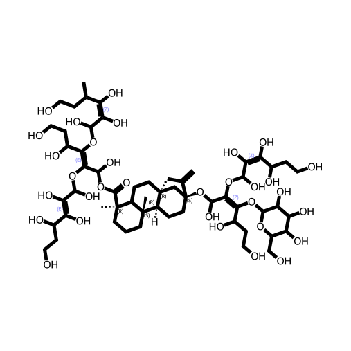 C=C1C[C@@]23CCC4[C@](C)(C(=O)OC(O)/C(OC(O)/C(O)=C(\O)C(O)CCO)=C(\OC(O)/C(O)=C(/O)C(C)CCO)C(O)CCO)CCC[C@@]4(C)[C@@H]2CC[C@]1(OC(O)/C(OC(O)/C(O)=C(/O)C(O)CCO)=C(/OC1OC(CO)C(O)C(O)C1O)C(O)CCO)C3